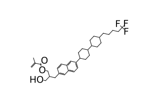 C=C(C)C(=O)OCC(CO)Cc1ccc2cc(C3CCC(C4CCC(CCCCC(F)(F)F)CC4)CC3)ccc2c1